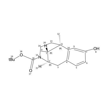 C[C@H]1[C@H]2Cc3ccc(O)cc3[C@]1(C)CCN2C(=O)OC(C)(C)C